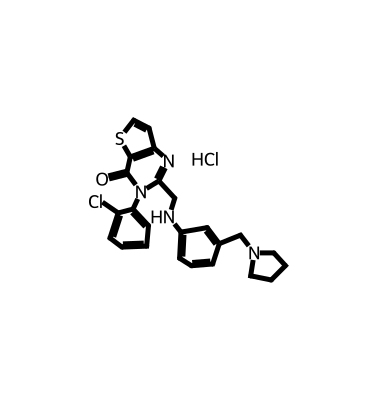 Cl.O=c1c2sccc2nc(CNc2cccc(CN3CCCC3)c2)n1-c1ccccc1Cl